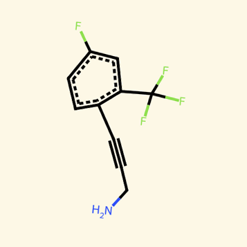 NCC#Cc1ccc(F)cc1C(F)(F)F